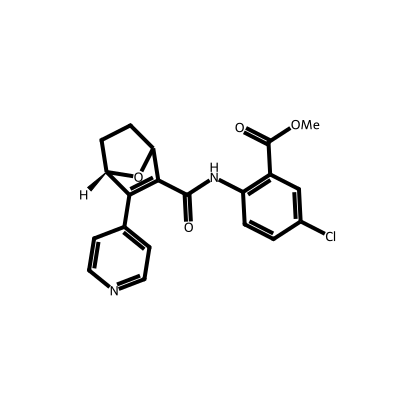 COC(=O)c1cc(Cl)ccc1NC(=O)C1=C(c2ccncc2)[C@@H]2CCC1O2